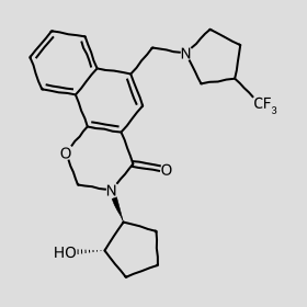 O=C1c2cc(CN3CCC(C(F)(F)F)C3)c3ccccc3c2OCN1[C@H]1CCC[C@@H]1O